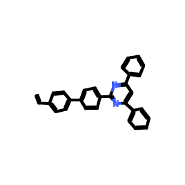 C=Cc1ccc(-c2ccc(-c3nc(-c4ccccc4)cc(-c4ccccc4)n3)cc2)cc1